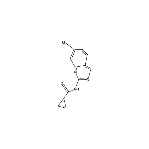 O=C(Nc1ncc2ccc(Cl)cc2n1)C1CC1